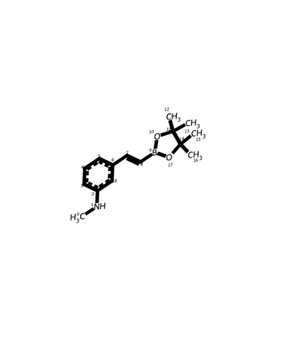 CNc1cccc(/C=C/B2OC(C)(C)C(C)(C)O2)c1